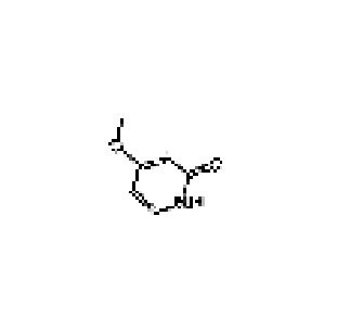 COc1[c]c(=O)[nH]cc1